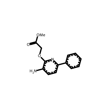 COC(=O)COc1nc(-c2ccccc2)ccc1N